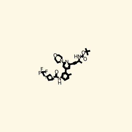 Cc1ccc(NC(=O)N2CC[C@@H](CC(F)(F)F)C2)cc1-c1cc(C#CC(C)NC(=O)OC(C)(C)C)nc(N2CCOCC2)c1